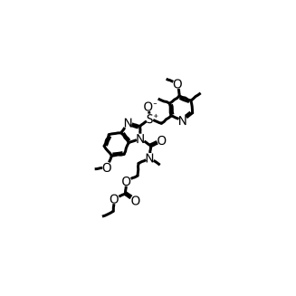 CCOC(=O)OCCN(C)C(=O)n1c([S+]([O-])Cc2ncc(C)c(OC)c2C)nc2ccc(OC)cc21